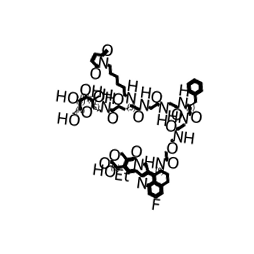 CC[C@@]1(O)C(=O)OCc2c1cc1n(c2=O)Cc2c-1nc1cc(F)cc3c1c2[C@@H](NC(=O)COCNC(=O)CNC(=O)[C@H](Cc1ccccc1)NC(=O)CNC(=O)CNC(=O)[C@H](CCC(=O)NC[C@@H]1O[C@H](CO)[C@@H](O)[C@H](O)[C@H]1O)NC(=O)CCCCCN1C(=O)C=CC1=O)CC3